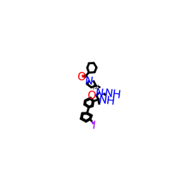 CC1(c2cccc(-c3cccc(I)c3)c2)NC(=N)N(C[C@H]2CCN(C(=O)C3CCCCC3)C2)C1=O